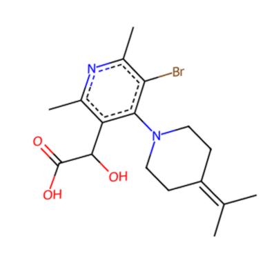 CC(C)=C1CCN(c2c(Br)c(C)nc(C)c2C(O)C(=O)O)CC1